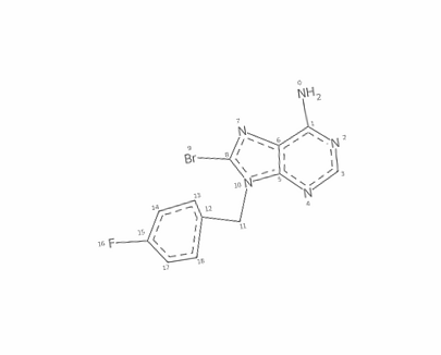 Nc1ncnc2c1nc(Br)n2Cc1ccc(F)cc1